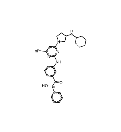 CCCc1cc(N2CCC(NC3CCCCC3)C2)nc(Nc2cccc(C(=O)[C@@H](O)c3ccccc3)c2)n1